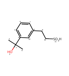 CC(C)(O)c1cccc(CCS(=O)(=O)O)c1